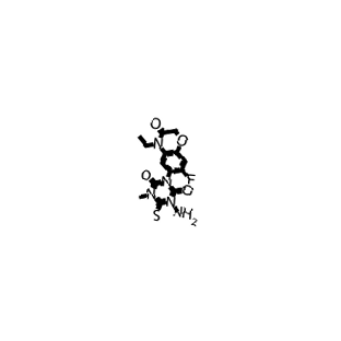 CCN1C(=O)COc2cc(F)c(-n3c(=O)n(C)c(=S)n(N)c3=O)cc21